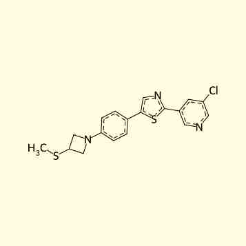 CSC1CN(c2ccc(-c3cnc(-c4cncc(Cl)c4)s3)cc2)C1